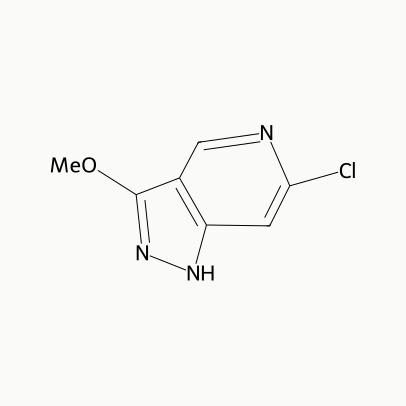 COc1n[nH]c2cc(Cl)ncc12